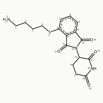 NCCCCSc1cccc2c1C(=O)N(C1CCC(=O)NC1=O)C2=O